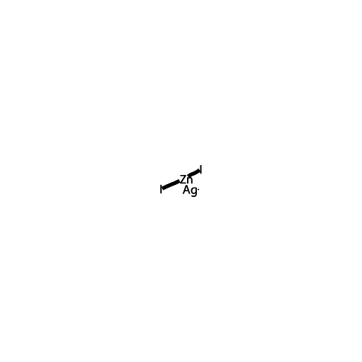 [Ag].[I][Zn][I]